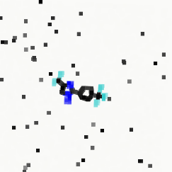 FC(F)c1c[nH]c(-c2ccc(C(F)(F)F)cc2)n1